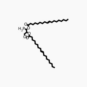 CCCCCCCCC=CCCCCCCCC(=O)OC(P)C(CO)OC(=O)CCCCCCCC=CCCCCCCCC